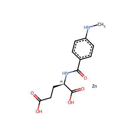 CNc1ccc(C(=O)N[C@H](CCC(=O)O)C(=O)O)cc1.[Zn]